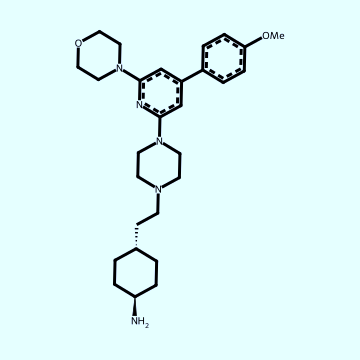 COc1ccc(-c2cc(N3CCOCC3)nc(N3CCN(CC[C@H]4CC[C@H](N)CC4)CC3)c2)cc1